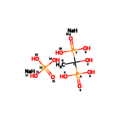 CC(O)(P(=O)(O)O)P(=O)(O)O.O=P(O)(O)O.[NaH].[NaH]